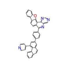 c1ccc2c(c1)ccc1cc(-c3ccc(-c4nc5cncnc5c5c4ccc4c6ccccc6oc45)cc3)cc(-c3ccncc3)c12